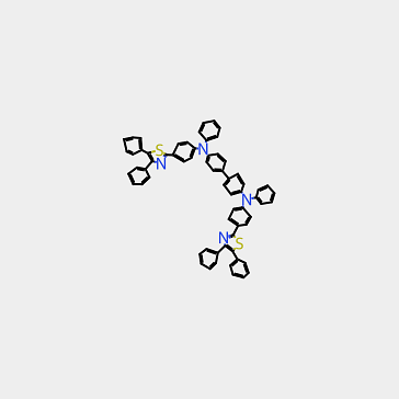 c1ccc(-c2nc(-c3ccc(N(c4ccccc4)c4ccc(-c5ccc(N(c6ccccc6)c6ccc(-c7nc(-c8ccccc8)c(-c8ccccc8)s7)cc6)cc5)cc4)cc3)sc2-c2ccccc2)cc1